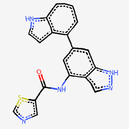 O=C(Nc1cc(-c2cccc3[nH]ccc23)cc2[nH]ncc12)c1cncs1